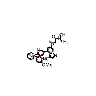 COc1ccc(CN2C3CC2CN(c2ccc(-c4cc(N(I)CC(=O)N(C)C)cn5ncc(C#N)c45)cn2)C3)cn1